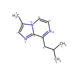 Cc1cnc2c(CC(C)C)nccn12